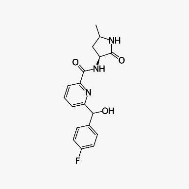 CC1C[C@H](NC(=O)c2cccc(C(O)c3ccc(F)cc3)n2)C(=O)N1